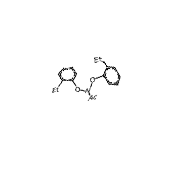 CCc1ccccc1ON(Oc1ccccc1CC)C(C)=O